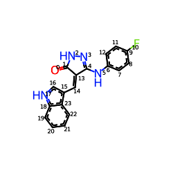 O=C1NN=C(Nc2ccc(F)cc2)/C1=C/c1c[nH]c2ccccc12